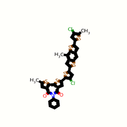 Cc1cc2c(=O)n(-c3ccccc3)c(=O)c3cc(-c4sc(-c5cc6c(C)c7sc(-c8cc(Cl)c(C)s8)cc7cc6s5)cc4Cl)sc3c2s1